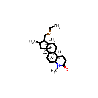 CCSCC1C(C)C[C@H]2[C@@H]3CCC4N(C)C(=O)CC[C@]4(C)[C@@H]3CC[C@]12C